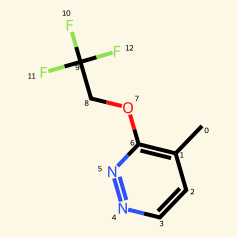 Cc1ccnnc1OCC(F)(F)F